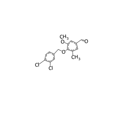 COc1cc(C=O)cc(C)c1OCc1ccc(Cl)c(Cl)c1